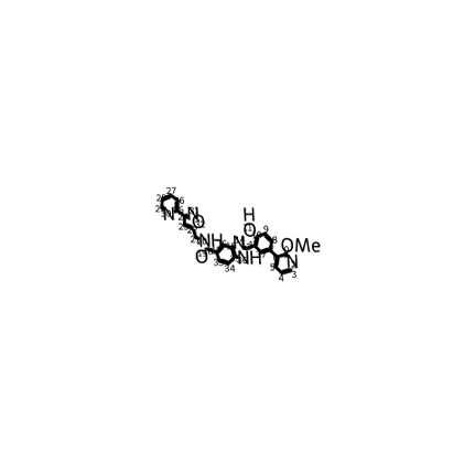 COc1ncccc1-c1ccc(O)c(-c2nc3cc(C(=O)NCc4cc(-c5ccccn5)no4)ccc3[nH]2)c1